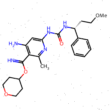 COCC[C@@H](NC(=O)Nc1cc(N)c(C(=N)OC2CCOCC2)c(C)n1)c1ccccc1